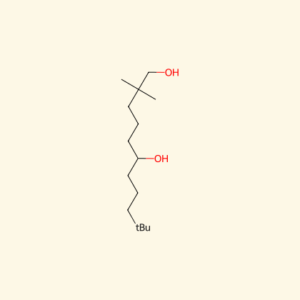 CC(C)(C)CCCC(O)CCCC(C)(C)CO